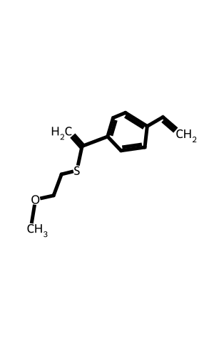 C=Cc1ccc(C(=C)SCCOC)cc1